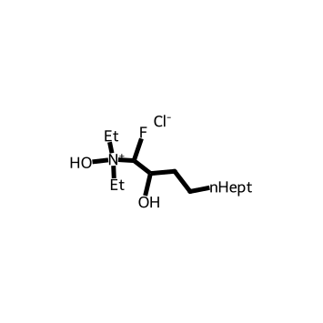 CCCCCCCCCC(O)C(F)[N+](O)(CC)CC.[Cl-]